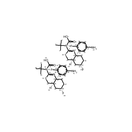 CC(C)(C)N(C(=O)O)C1=N[C@@]2(c3cc(N)ccc3F)CC[C@H](F)C[C@H]2CS1.CC(C)(C)N(C(=O)O)C1=N[C@@]2(c3cc(N)ccc3F)CC[C@H](F)C[C@H]2CS1